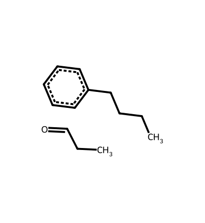 CCC=O.CCCCc1ccccc1